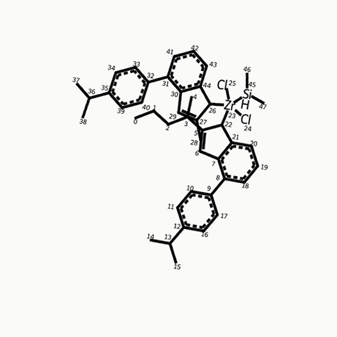 CCCC(C)C1=Cc2c(-c3ccc(C(C)C)cc3)cccc2[CH]1[Zr]([Cl])([Cl])([CH]1C(C)=Cc2c(-c3ccc(C(C)C)cc3)cccc21)[SiH](C)C